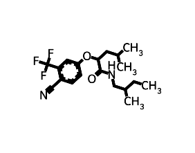 CCC(C)CNC(=O)C(CC(C)C)Oc1ccc(C#N)c(C(F)(F)F)c1